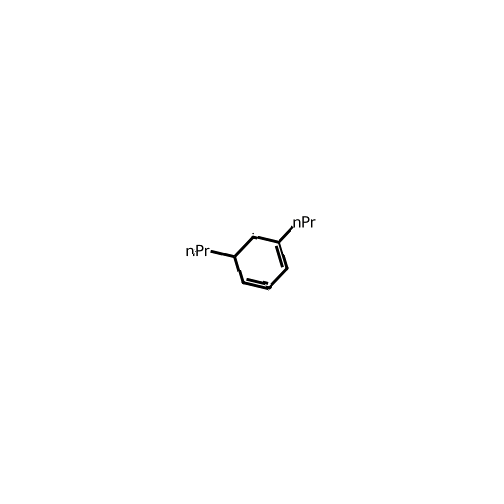 CCCC1=CC=CC(CCC)[CH]1